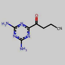 N#CCCC(=O)c1nc(N)nc(N)n1